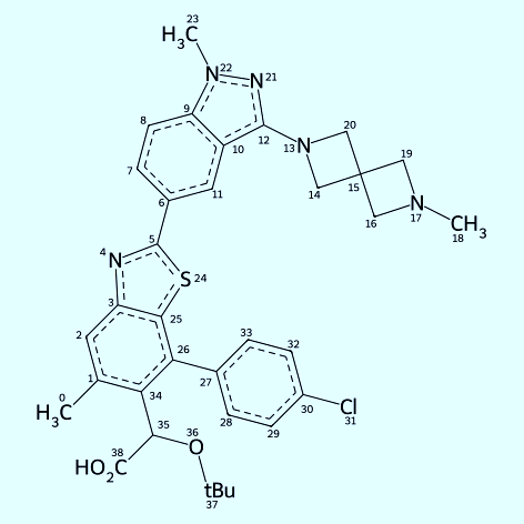 Cc1cc2nc(-c3ccc4c(c3)c(N3CC5(CN(C)C5)C3)nn4C)sc2c(-c2ccc(Cl)cc2)c1C(OC(C)(C)C)C(=O)O